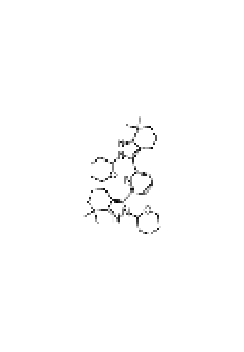 CC1(C)CCCc2c1nn(C1CCCCO1)c2-c1cccc(-c2c3c(nn2C2CCCCO2)C(C)(C)CCC3)n1